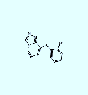 Brc1ccccc1Cc1nccn2cnnc12